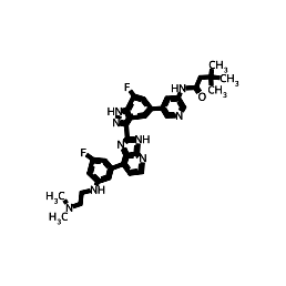 CN(C)CCNc1cc(F)cc(-c2ccnc3[nH]c(-c4n[nH]c5c(F)cc(-c6cncc(NC(=O)CC(C)(C)C)c6)cc45)nc23)c1